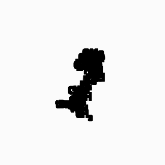 COC(=O)N[C@H](C(=O)N1[C@@H]2C[C@@H]2C[C@H]1c1nc(Cl)c(-c2ccc(-c3ccc(-c4[nH]c([C@@H]5C[C@H]6[C@@H](C)[C@H]6N5C(=O)OC(C)(C)C)nc4Cl)cc3)cc2)[nH]1)C1CCOCC1